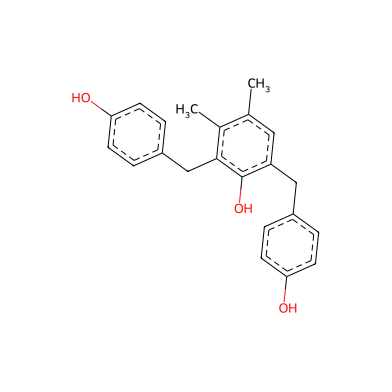 Cc1cc(Cc2ccc(O)cc2)c(O)c(Cc2ccc(O)cc2)c1C